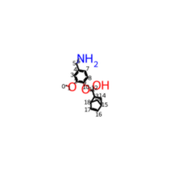 COc1cc(CN)ccc1OC(O)C1CC2C=CC1C2